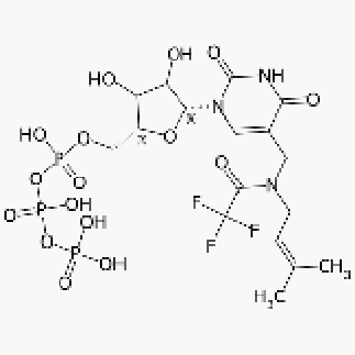 CC(C)=CCN(Cc1cn([C@@H]2O[C@H](COP(=O)(O)OP(=O)(O)OP(=O)(O)O)C(O)C2O)c(=O)[nH]c1=O)C(=O)C(F)(F)F